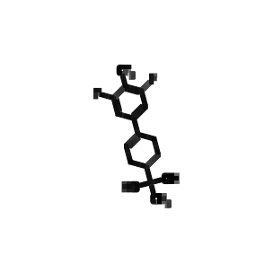 CC(O)(O)C1CC=C(c2cc(F)c(C(F)(F)F)c(F)c2)CC1